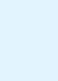 CC(C)NCc1nc2c(C(N)=NO)cccc2[nH]1